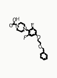 O=C(O)N1CCN(c2c(F)cc(OCCOCc3ccccc3)cc2F)CC1